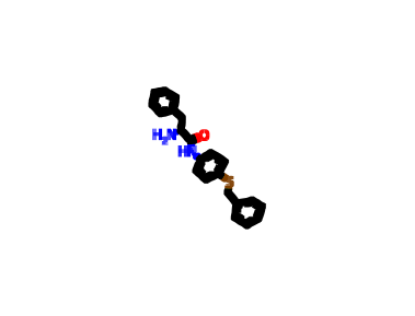 N[C@@H](Cc1ccccc1)C(=O)Nc1ccc(SCc2ccccc2)cc1